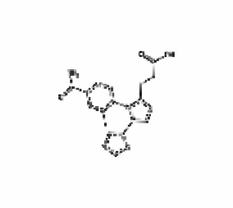 Cc1cc(C(N)=O)ccc1-n1c(CCC(=O)O)ccc1-c1cncs1